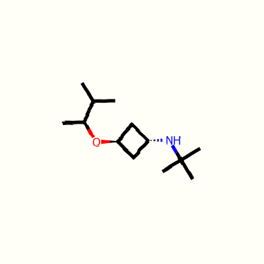 CC(C)C(C)O[C@H]1C[C@H](NC(C)(C)C)C1